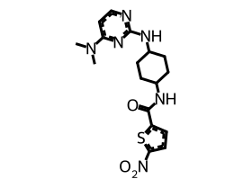 CN(C)c1ccnc(NC2CCC(NC(=O)c3ccc([N+](=O)[O-])s3)CC2)n1